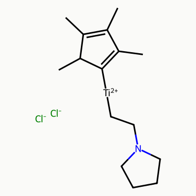 CC1=C(C)C(C)[C]([Ti+2][CH2]CN2CCCC2)=C1C.[Cl-].[Cl-]